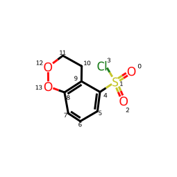 O=S(=O)(Cl)c1cccc2c1CCOO2